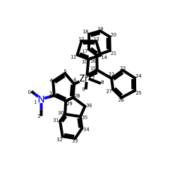 CN(C)c1cc[c]([Zr]([CH3])([CH3])([C]2=CC=CC2)=[C](c2ccccc2)c2ccccc2)c2c1-c1ccccc1C2